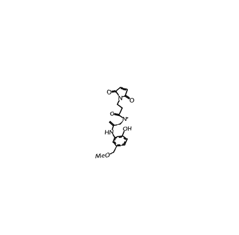 C=C(CN(C)C(=O)CCN1C(=O)C=CC1=O)Nc1cc(COC)ccc1O